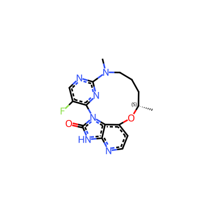 C[C@H]1CCCN(C)c2ncc(F)c(n2)-n2c(=O)[nH]c3nccc(c32)O1